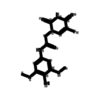 COc1cc(NC(=O)Cn2cc(F)c(=O)[nH]c2=O)cc(OC)c1O